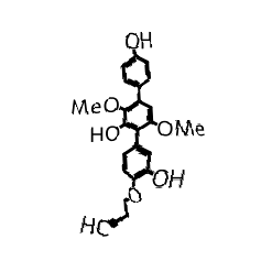 C#CCCOc1ccc(-c2c(OC)cc(-c3ccc(O)cc3)c(OC)c2O)cc1O